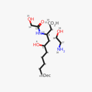 CCCCCCCCCCCCCCC(O)CC(CC(=O)O)NC(=O)CO.NCCO